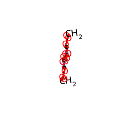 C=CC(=O)OCCCCOc1ccc(/C=C/C(=O)O[C@@H]2COC3C2OC[C@H]3OC(=O)/C=C/c2ccc(OCCCCOC(=O)C=C)cc2)cc1